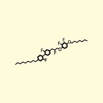 CCCCCCCCCc1ccc(-c2ccc(CC(F)COc3ccc(OCCCCCCC)c(F)c3F)cc2F)c(F)c1